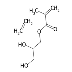 C=C.C=C(C)C(=O)OCC(O)CO